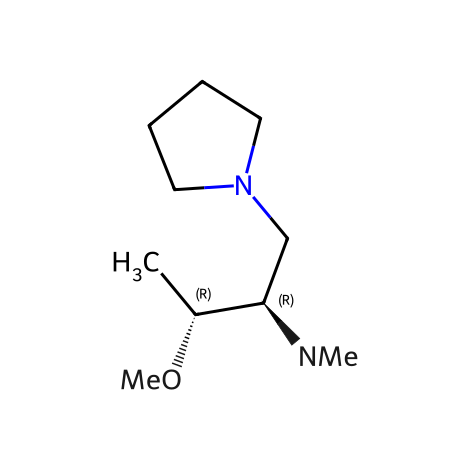 CN[C@H](CN1CCCC1)[C@@H](C)OC